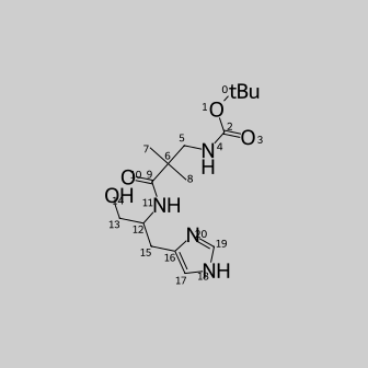 CC(C)(C)OC(=O)NCC(C)(C)C(=O)NC(CO)Cc1c[nH]cn1